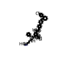 O=C(NS(=O)(=O)c1ccc(N[C@H](CCNCCC/C=C\O)CSc2ccccc2)c(S(=O)(=O)C(F)(F)Cl)c1)c1ccc(N2CCN(CC3=C(c4ccc(Cl)cc4)CCCCC3)CC2)cc1